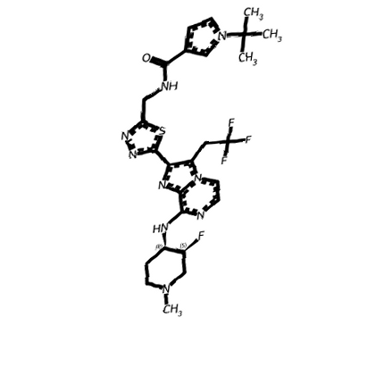 CN1CC[C@@H](Nc2nccn3c(CC(F)(F)F)c(-c4nnc(CNC(=O)c5ccn(C(C)(C)C)c5)s4)nc23)[C@@H](F)C1